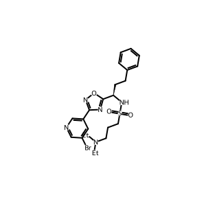 CCN(CC)CCCS(=O)(=O)N[C@H](CCc1ccccc1)c1nc(-c2cncc(Br)c2)no1